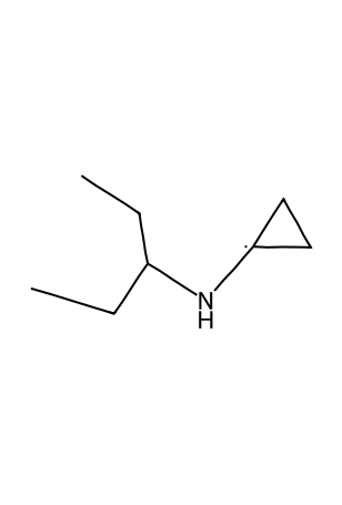 CCC(CC)N[C]1CC1